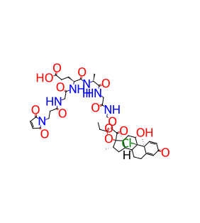 CCC(=O)O[C@]1(C(=O)COCNC(=O)CNC(=O)[C@H](C)NC(=O)[C@H](CCC(=O)O)NC(=O)CNC(=O)CCN2C(=O)C=CC2=O)[C@@H](C)CC2[C@@H]3CCC4=CC(=O)C=C[C@]4(C)[C@@]3(Cl)[C@@H](O)C[C@@]21C